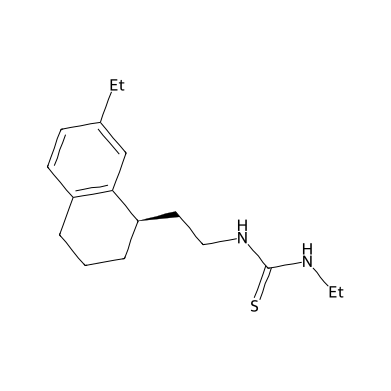 CCNC(=S)NCC[C@H]1CCCc2ccc(CC)cc21